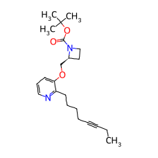 CCC#CCCCCc1ncccc1OC[C@@H]1CCN1C(=O)OC(C)(C)C